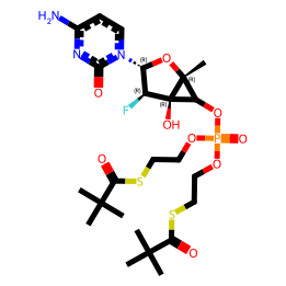 CC(C)(C)C(=O)SCCOP(=O)(OCCSC(=O)C(C)(C)C)OC1[C@@]2(C)O[C@@H](n3ccc(N)nc3=O)[C@H](F)[C@@]12O